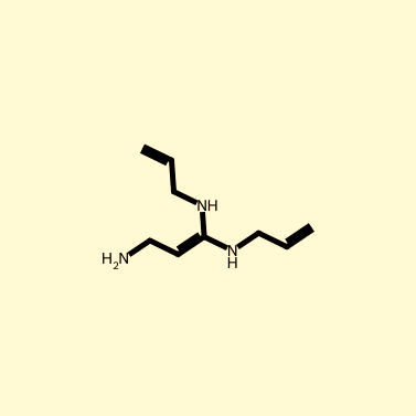 C=CCNC(=CCN)NCC=C